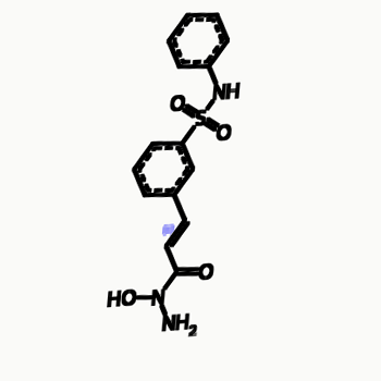 NN(O)C(=O)/C=C/c1cccc(S(=O)(=O)Nc2ccccc2)c1